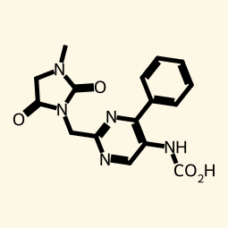 CN1CC(=O)N(Cc2ncc(NC(=O)O)c(-c3ccccc3)n2)C1=O